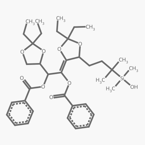 CCC1(CC)O/C(=C(/OC(=O)c2ccccc2)C(OC(=O)c2ccccc2)C2COC(CC)(CC)O2)C(CCC(C)(C)[Si](C)(C)O)O1